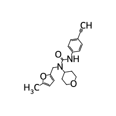 C#Cc1ccc(NC(=O)N(Cc2ccc(C)o2)C2CCOCC2)cc1